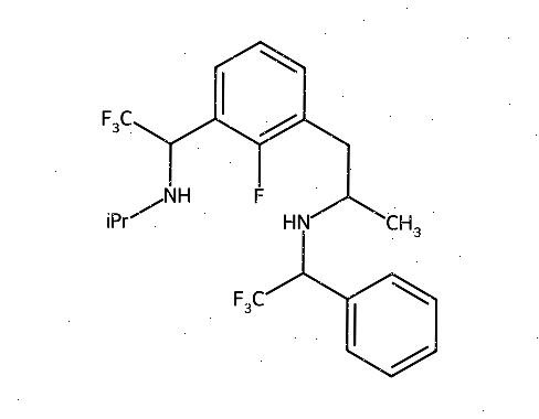 CC(C)NC(c1cccc(CC(C)NC(c2ccccc2)C(F)(F)F)c1F)C(F)(F)F